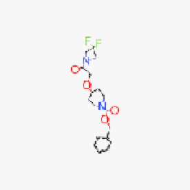 O=C(COC1CCN(C(=O)OCc2ccccc2)CC1)N1CC(F)(F)C1